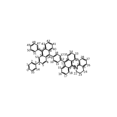 c1ccc(-c2ccc3c(-c4ccc(-c5c6ccccc6c(N6CCCc7ccccc76)c6ccccc56)cc4)c4ccccc4c(-c4ccccc4)c3c2)cc1